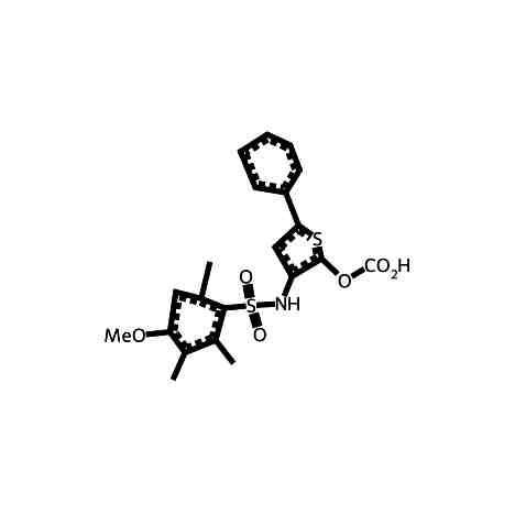 COc1cc(C)c(S(=O)(=O)Nc2cc(-c3ccccc3)sc2OC(=O)O)c(C)c1C